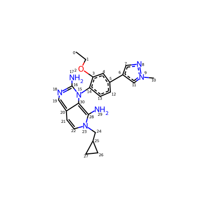 CCOc1cc(-c2cnn(C)c2)ccc1N1C(N)=NC=C2C=CN(CC3CC3)C(N)=C21